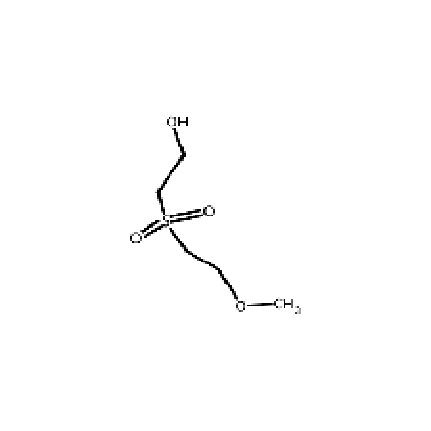 COCCS(=O)(=O)CCO